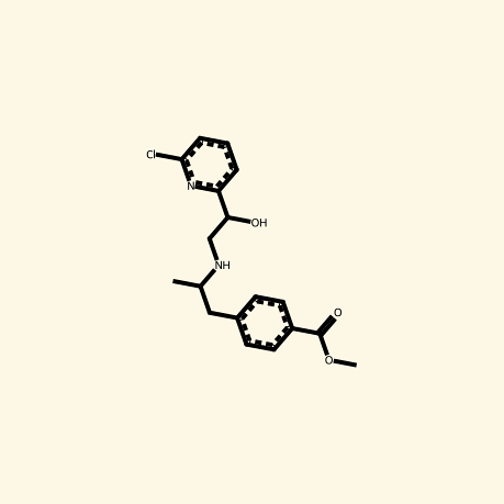 COC(=O)c1ccc(CC(C)NCC(O)c2cccc(Cl)n2)cc1